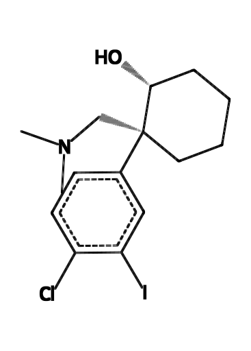 CN(C)C[C@@]1(c2ccc(Cl)c(I)c2)CCCC[C@H]1O